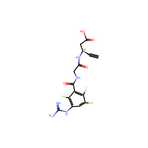 C#C[C@H](CC(=O)O)NC(=O)CNC(=O)c1c(F)c(F)cc(NC(=N)N)c1F